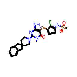 Cn1c(N2CCC3(CC2)Cc2ccccc2C3)nc(N)c(Sc2cccc(NS(C)(=O)=O)c2F)c1=O